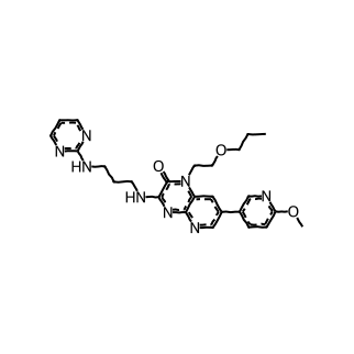 CCCOCCn1c(=O)c(NCCCNc2ncccn2)nc2ncc(-c3ccc(OC)nc3)cc21